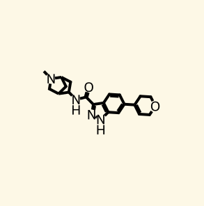 CN1CC2CC1CC2NC(=O)c1n[nH]c2cc(C3=CCOCC3)ccc12